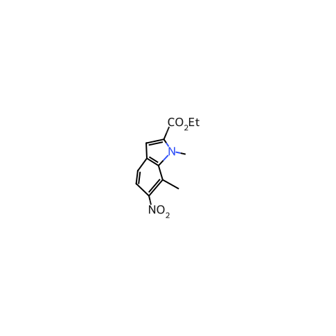 CCOC(=O)c1cc2ccc([N+](=O)[O-])c(C)c2n1C